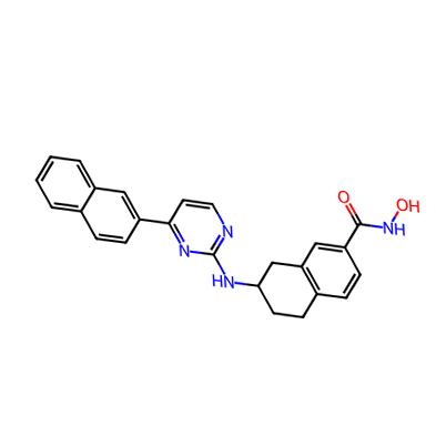 O=C(NO)c1ccc2c(c1)CC(Nc1nccc(-c3ccc4ccccc4c3)n1)CC2